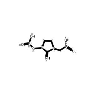 N=C1N(C[PH](=O)O)CCN1O[PH](=O)O